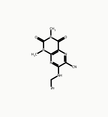 CC(C)CNc1nc2c(nc1C#N)c(=O)n(C)c(=O)n2C